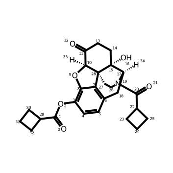 O=C(Oc1ccc2c3c1O[C@H]1C(=O)CC[C@@]4(O)[C@@H](C2)N(C(=O)C2CCC2)CC[C@]314)C1CCC1